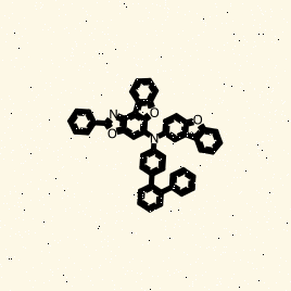 c1ccc(-c2nc3c(cc(N(c4ccc(-c5ccccc5-c5ccccc5)cc4)c4ccc5oc6ccccc6c5c4)c4oc5ccccc5c43)o2)cc1